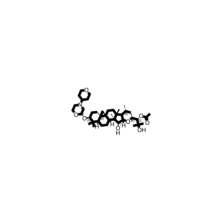 CC(=O)O[C@@H]([C@H]1C[C@@H](C)C2[C@H](O1)[C@H](O)[C@@]1(C)[C@@H]3CC[C@H]4C(C)(C)[C@@H](O[C@H]5CN(C6CCOCC6)CCO5)CC[C@@]45C[C@@]35CC[C@]21C)C(C)(C)O